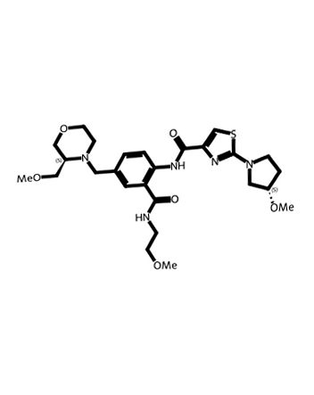 COCCNC(=O)c1cc(CN2CCOC[C@@H]2COC)ccc1NC(=O)c1csc(N2CC[C@H](OC)C2)n1